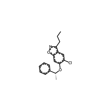 CCCc1noc2cc(O[C@H](C)c3ccccc3)c(Cl)cc12